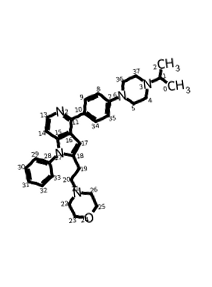 CC(C)N1CCN(c2ccc(-c3nccc4c3cc(CCN3CCOCC3)n4-c3ccccc3)cc2)CC1